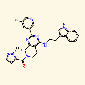 Cn1nccc1C(=O)N1CCc2c(nc(-c3cncc(F)c3)nc2NCCc2c[nH]c3ccccc23)C1